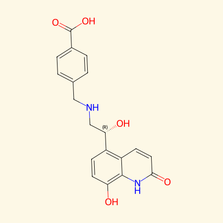 O=C(O)c1ccc(CNC[C@H](O)c2ccc(O)c3[nH]c(=O)ccc23)cc1